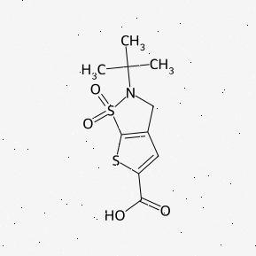 CC(C)(C)N1Cc2cc(C(=O)O)sc2S1(=O)=O